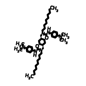 CCCCCCCCCCN(C[C@H]1CC[C@@H](CN(CCCCCCCCCC)C(=O)Nc2ccc(N(C)C)cc2)CC1)C(=O)Nc1ccc(N(C)C)cc1